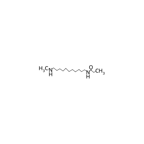 CCC(=O)NCCCCCCCCCCCNC